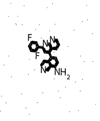 Nc1ccc(-c2cc(-c3cc(F)ccc3F)nc3ncccc23)c2ccncc12